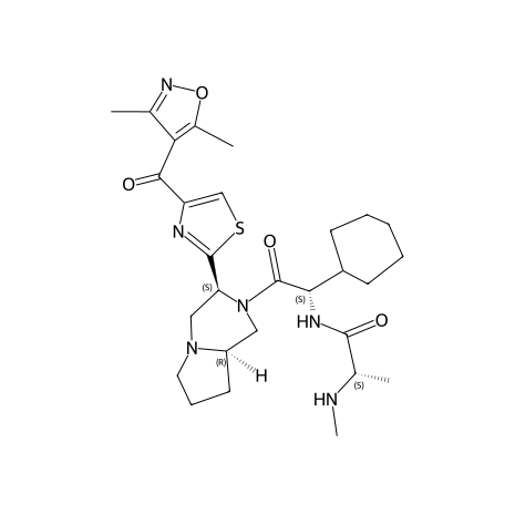 CN[C@@H](C)C(=O)N[C@H](C(=O)N1C[C@H]2CCCN2C[C@H]1c1nc(C(=O)c2c(C)noc2C)cs1)C1CCCCC1